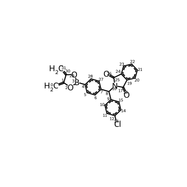 C=C1OB(c2ccc(C(c3ccc(Cl)cc3)N3C(=O)c4ccccc4C3=O)cc2)OC1=C